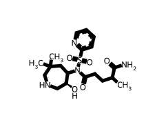 CC(C[CH]C(=O)N(C1CC(C)(C)CNC[C@@H]1O)S(=O)(=O)c1ccccn1)C(N)=O